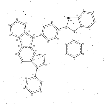 c1ccc(N2c3ccccc3NC2c2ccc(-n3c4ccccc4c4ccc5c(ccn5-c5ccccc5)c43)cc2)cc1